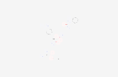 CCCCOC(=O)[C@@H]1CN(C)CCN1C1CCN(C(=O)[C@@H](Cc2cc(Cl)c(N)c(C(F)(F)F)c2)OC(=O)N2CCC(N3CCc4ccccc4NC3=O)CC2)CC1